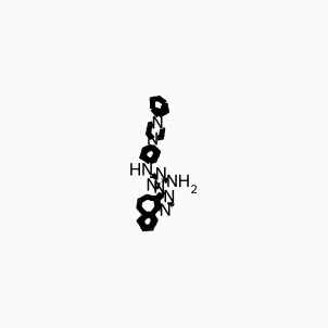 Nc1nc(Nc2ccc(N3CCN(C4CC5CCC4C5)CC3)cc2)nn1-c1ncnc2c1CCCc1ccccc1-2